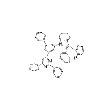 c1ccc(-c2cc(-c3cc(-c4ccccc4)nc(-c4ccccc4)n3)cc(-n3c4c(c5ccccc53)-c3ccccc3Oc3ccccc3-4)c2)cc1